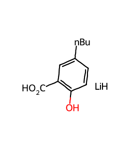 CCCCc1ccc(O)c(C(=O)O)c1.[LiH]